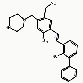 N#Cc1c(/C=C/c2cc(CN=O)c(CN3CCNCC3)cc2C(F)(F)F)cccc1-c1ccccc1